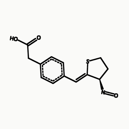 O=N[C@@H]1CCS/C1=C\c1ccc(CC(=O)O)cc1